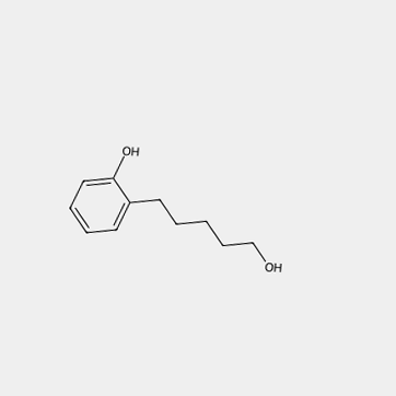 OCCCCCc1ccccc1O